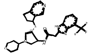 O=C(Cc1nc2c(C(F)(F)F)cccc2[nH]1)NC1CN(C2CCOCC2)C[C@@H]1SC1CCc2ccncc21